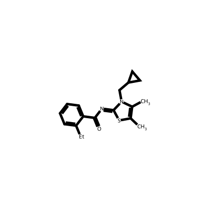 CCc1ccccc1C(=O)/N=c1\sc(C)c(C)n1CC1CC1